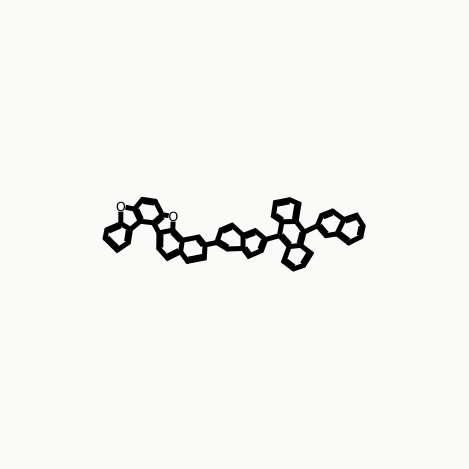 c1ccc2cc(-c3c4ccccc4c(-c4ccc5cc(-c6ccc7ccc8c(oc9ccc%10oc%11ccccc%11c%10c98)c7c6)ccc5c4)c4ccccc34)ccc2c1